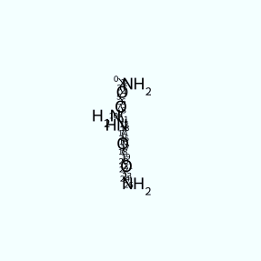 CC(N)COCCOCC(N)CNCCCOCCCCOCCCN